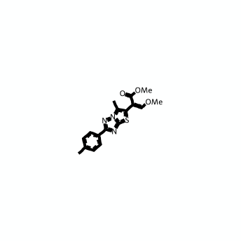 COC=C(C(=O)OC)c1sc2nc(-c3ccc(C)cc3)nn2c1C